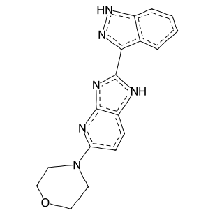 c1ccc2c(-c3nc4nc(N5CCOCC5)ccc4[nH]3)n[nH]c2c1